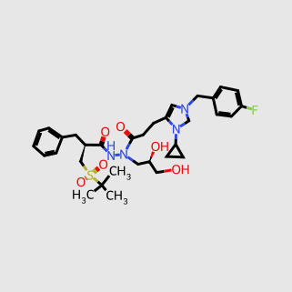 CC(C)(C)S(=O)(=O)C[C@@H](Cc1ccccc1)C(=O)NN(C[C@@H](O)CO)C(=O)CCC1=CN(Cc2ccc(F)cc2)CN1C1CC1